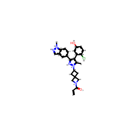 C=CC(=O)N1CC2(CC(n3nc(-c4ccc5c(cnn5C)c4)c(-c4cc(O)ccc4Cl)c3C)C2)C1